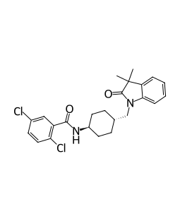 CC1(C)C(=O)N(C[C@H]2CC[C@H](NC(=O)c3cc(Cl)ccc3Cl)CC2)c2ccccc21